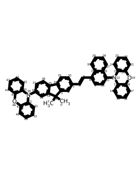 CC1(C)c2cc(/C=C/c3ccc(N4c5ccccc5Oc5ccccc54)c4ccccc34)ccc2-c2ccc(N3c4ccccc4Oc4ccccc43)cc21